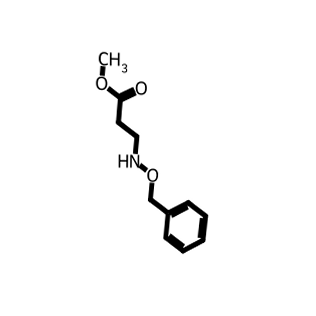 COC(=O)CCNOCc1ccccc1